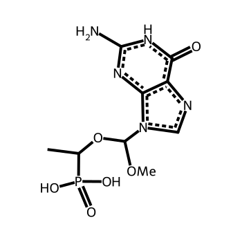 COC(OC(C)P(=O)(O)O)n1cnc2c(=O)[nH]c(N)nc21